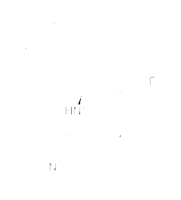 Fc1ccc(CC2(CN[C@@H]3CC3c3ccccc3)CCNCC2)cc1